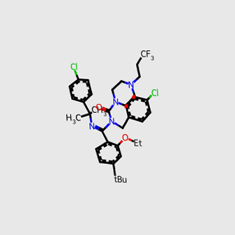 CCOc1cc(C(C)(C)C)ccc1/C(=N/C(C)(C)c1ccc(Cl)cc1)N(Cc1ccc(Cl)cc1)C(=O)N1CCN(CCC(F)(F)F)CC1